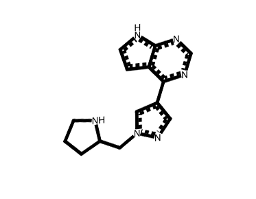 c1nc(-c2cnn(CC3CCCN3)c2)c2cc[nH]c2n1